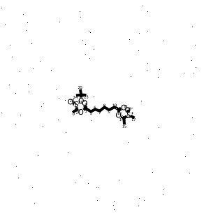 CC(OC(=O)CCCCCCC(=O)OC(C)[S+](C)[O-])S(=O)OC(C)(C)C